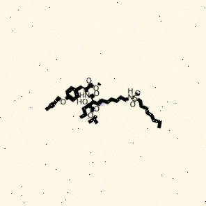 CC#CCOc1ccc(C[C@H](NC(=O)[C@@H](/C=C/CCCCCNS(=O)(=O)CCCCCCCC)[C@@](O)(CCC)C(=O)OC(C)(C)C)C(=O)OC)cc1